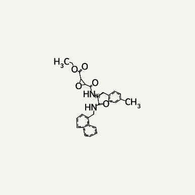 CCOC(=O)C1OC1C(=O)N[C@@H](Cc1ccc(C)cc1)C(=O)NCc1cccc2ccccc12